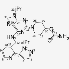 CC(C)n1nccc1-c1ncccc1CNc1nc(N2CCC(OC(N)=O)CC2)nc2c1ncn2C(C)C